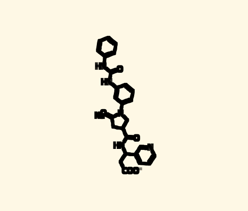 O=C([O-])CC(NC(=O)C1CC(=O)N(c2cccc(NC(=O)Nc3ccccc3)c2)C1)c1cccnc1.[Na+]